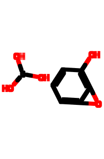 OB(O)O.Oc1cccc2c1O2